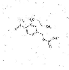 CC(=O)c1ccc(CO[PH](=O)O)cc1.CCCC